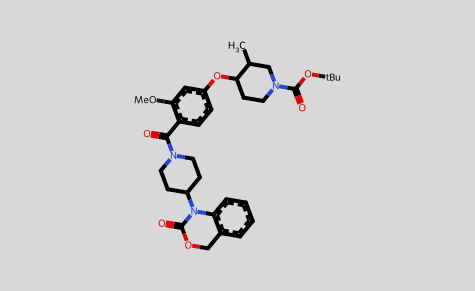 COc1cc(OC2CCN(C(=O)OC(C)(C)C)CC2C)ccc1C(=O)N1CCC(N2C(=O)OCc3ccccc32)CC1